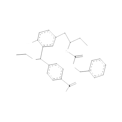 CCSC(c1ccc(C(C)=O)cc1)c1cc(CC(CC)NC(=O)OCc2ccccc2)ccc1O